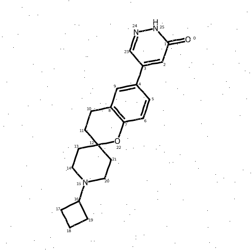 O=c1cc(-c2ccc3c(c2)CCC2(CCN(C4CCC4)CC2)O3)cn[nH]1